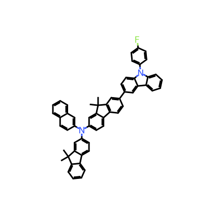 CC1(C)c2ccccc2-c2ccc(N(c3ccc4c(c3)C(C)(C)c3cc(-c5ccc6c(c5)c5ccccc5n6-c5ccc(F)cc5)ccc3-4)c3ccc4ccccc4c3)cc21